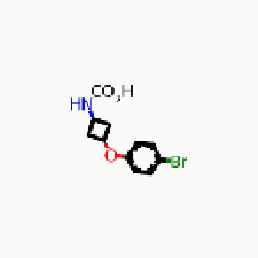 O=C(O)N[C@H]1C[C@@H](Oc2ccc(Br)cc2)C1